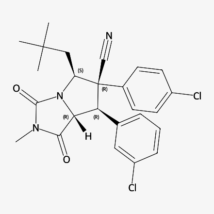 CN1C(=O)[C@H]2[C@H](c3cccc(Cl)c3)[C@@](C#N)(c3ccc(Cl)cc3)[C@H](CC(C)(C)C)N2C1=O